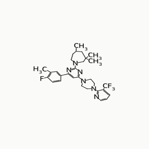 Cc1cc(-c2cc(N3CCN(c4ncccc4C(F)(F)F)CC3)nc(N3CCC(C)CC(C)(C)C3)n2)ccc1F